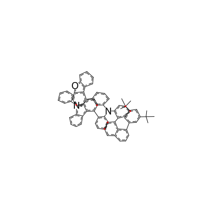 CC(C)(C)c1cc(-c2cccc3cccc(-c4ccccc4N(c4cccc(-c5cccc6oc7ccccc7c56)c4)c4ccccc4-c4cccc5c4c4ccccc4n5-c4ccccc4)c23)cc(C(C)(C)C)c1